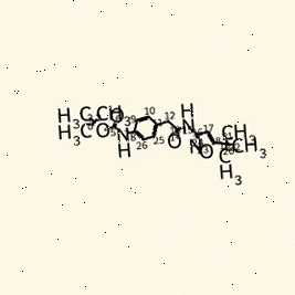 CC(C)(C)OC(=O)Nc1ccc(CC(=O)Nc2cc(C(C)(C)C)on2)cc1